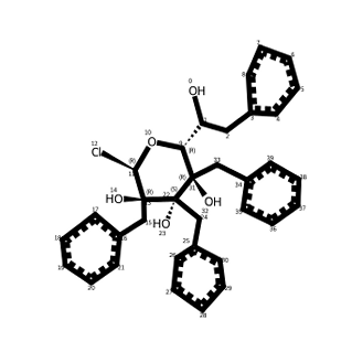 OC(Cc1ccccc1)[C@H]1O[C@H](Cl)[C@@](O)(Cc2ccccc2)[C@](O)(Cc2ccccc2)[C@@]1(O)Cc1ccccc1